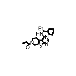 C=CC(=O)N1CCc2c(sc3ncnc(N[C@H](CC)c4ccccc4)c23)C1